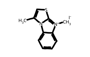 Cc1csc2n1c1ccccc1[n+]2C.[I-]